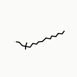 [CH2]CCC(C)(C)CCCCCCCCCCCC